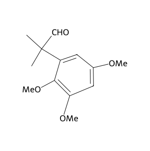 COc1cc(OC)c(OC)c(C(C)(C)C=O)c1